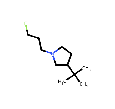 CC(C)(C)C1CCN(CCCF)C1